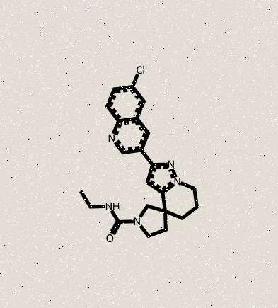 CCNC(=O)N1CCC2(CCCn3nc(-c4cnc5ccc(Cl)cc5c4)cc32)C1